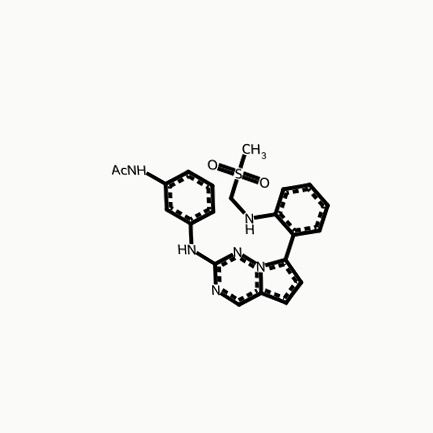 CC(=O)Nc1cccc(Nc2ncc3ccc(-c4ccccc4NCS(C)(=O)=O)n3n2)c1